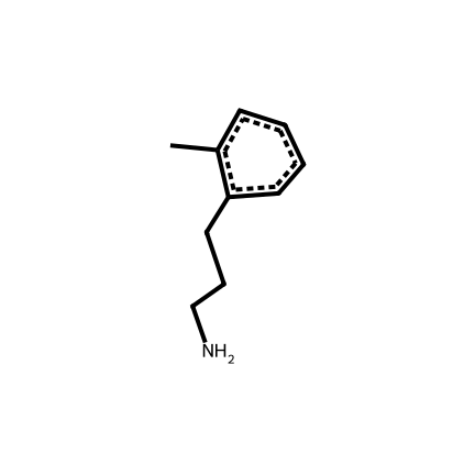 Cc1ccccc1CCCN